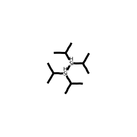 CC(C)[SiH](C(C)C)[SiH](C(C)C)C(C)C